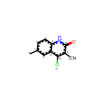 Cc1ccc2[nH]c(=O)c(C#N)c(Cl)c2c1